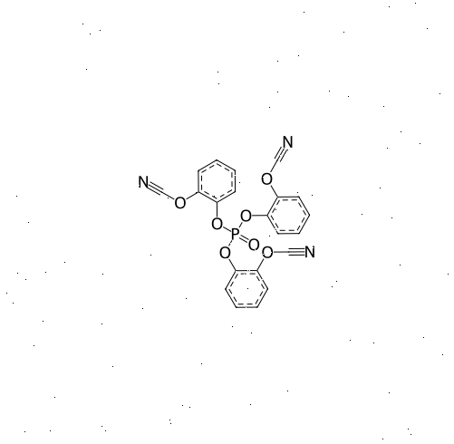 N#COc1ccccc1OP(=O)(Oc1ccccc1OC#N)Oc1ccccc1OC#N